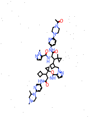 CC(=O)N1CCN(c2ccc(NC(=O)[C@@H](NC(=O)c3ccnn3C)C(C3CCC3Cn3nccc3C(=O)N[C@H](C(=O)Nc3ccc(N4CCN(C)CC4C)nc3)C(C3CCC3)C3(C)CC3)C3(C)CC3)cn2)CC1